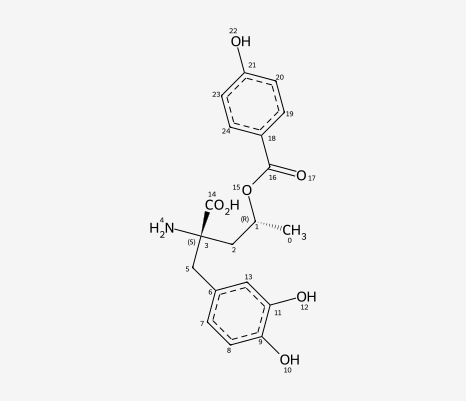 C[C@H](C[C@@](N)(Cc1ccc(O)c(O)c1)C(=O)O)OC(=O)c1ccc(O)cc1